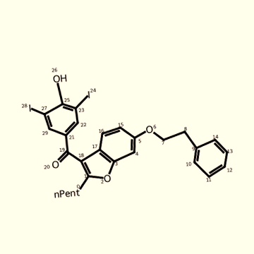 CCCCCc1oc2cc(OCCc3ccccc3)ccc2c1C(=O)c1cc(I)c(O)c(I)c1